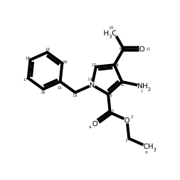 CCOC(=O)c1c(N)c(C(C)=O)cn1Cc1ccccc1